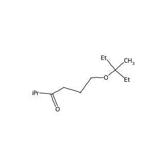 CCC(C)(CC)OCCCC(=O)C(C)C